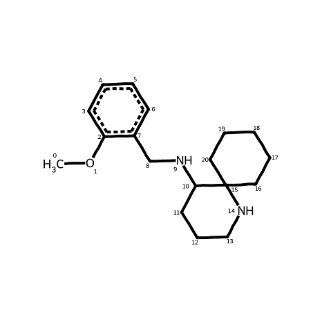 COc1ccccc1CNC1CCCNC12CCCCC2